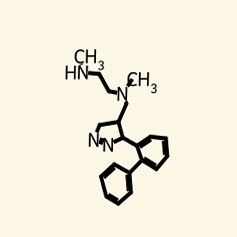 CNCCN(C)CC1CN=NC1c1ccccc1-c1ccccc1